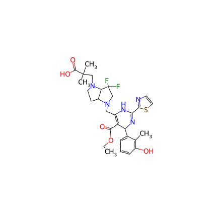 CCOC(=O)C1=C(CN2CC(F)(F)C3C2CCN3CC(C)(C)C(=O)O)NC(c2nccs2)=NC1c1cccc(O)c1C